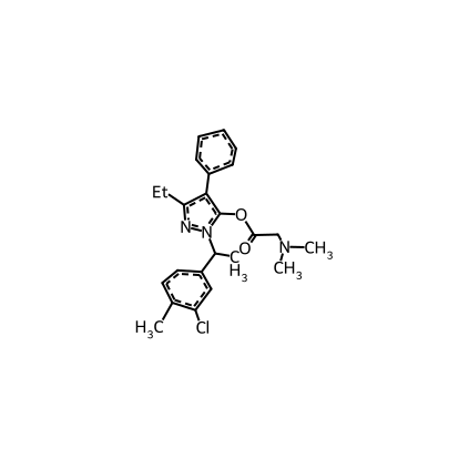 CCc1nn(C(C)c2ccc(C)c(Cl)c2)c(OC(=O)CN(C)C)c1-c1ccccc1